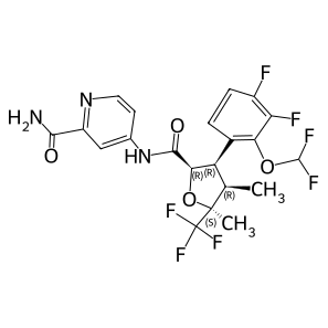 C[C@@H]1[C@H](c2ccc(F)c(F)c2OC(F)F)[C@H](C(=O)Nc2ccnc(C(N)=O)c2)O[C@]1(C)C(F)(F)F